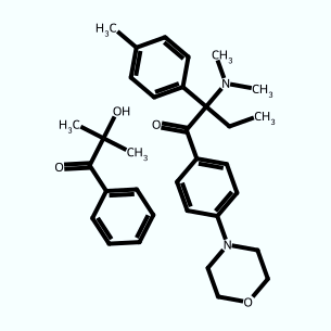 CC(C)(O)C(=O)c1ccccc1.CCC(C(=O)c1ccc(N2CCOCC2)cc1)(c1ccc(C)cc1)N(C)C